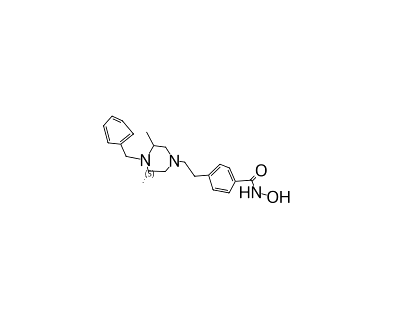 CC1CN(CCc2ccc(C(=O)NO)cc2)C[C@H](C)N1Cc1ccccc1